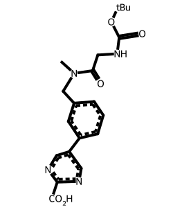 CN(Cc1cccc(-c2cnc(C(=O)O)nc2)c1)C(=O)CNC(=O)OC(C)(C)C